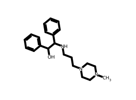 CN1CCN(CCCNC(c2ccccc2)C(O)c2ccccc2)CC1